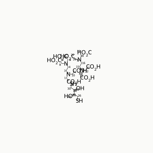 O=C(O)CN(CCN(CC(=O)O)CC(=O)O)CC(=O)O.O=C(O)CN(CCN(CC(=O)O)CC(=O)O)CC(=O)O.O[C@H](CS)[C@H](O)CS